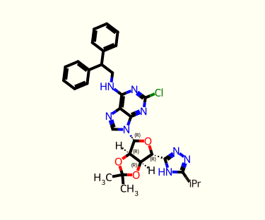 CC(C)c1nnc([C@H]2O[C@@H](n3cnc4c(NCC(c5ccccc5)c5ccccc5)nc(Cl)nc43)[C@@H]3OC(C)(C)O[C@@H]32)[nH]1